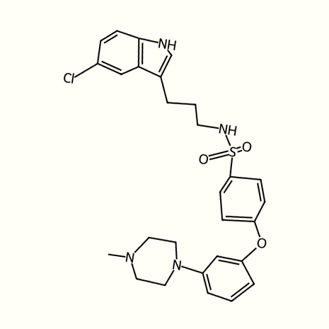 CN1CCN(c2cccc(Oc3ccc(S(=O)(=O)NCCCc4c[nH]c5ccc(Cl)cc45)cc3)c2)CC1